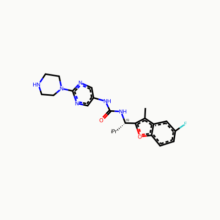 Cc1c([C@@H](NC(=O)Nc2cnc(N3CCNCC3)nc2)C(C)C)oc2ccc(F)cc12